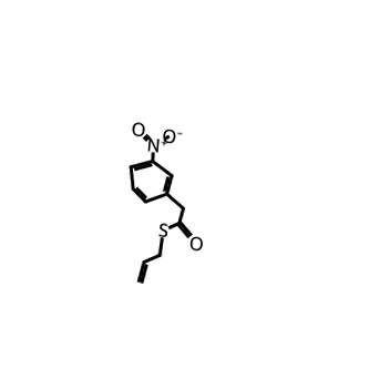 C=CCSC(=O)Cc1cccc([N+](=O)[O-])c1